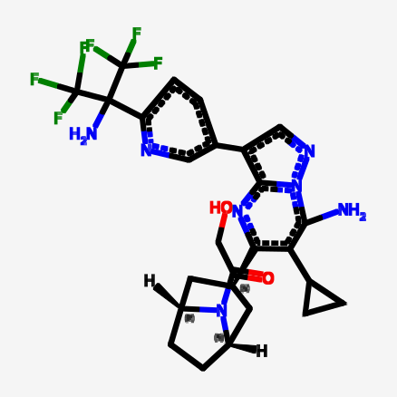 Nc1c(C2CC2)c([C@@H]2C[C@H]3CC[C@@H](C2)N3C(=O)CO)nc2c(-c3ccc(C(N)(C(F)(F)F)C(F)(F)F)nc3)cnn12